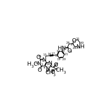 Cn1c(=O)c2c(nc(S(C)(=O)=O)n2C)n(CC#Cc2cccc(NC(=O)CC3CNCCO3)c2)c1=O